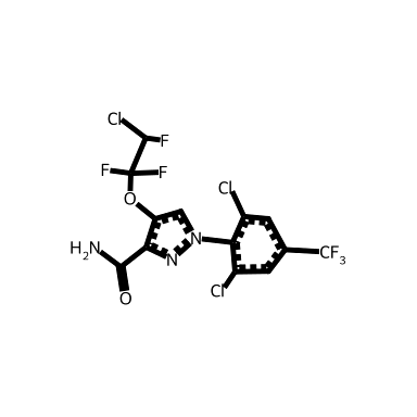 NC(=O)c1nn(-c2c(Cl)cc(C(F)(F)F)cc2Cl)cc1OC(F)(F)C(F)Cl